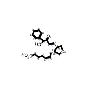 CC(C(=O)/C=C/[C@@H]1COC[C@@H]1C/C=C\CCCC(=O)O)c1ccccc1